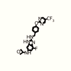 Fc1cc(NC2COC2)cc2[nH]c(NCc3ccc(Oc4ncc(C(F)(F)F)cn4)cc3)nc12